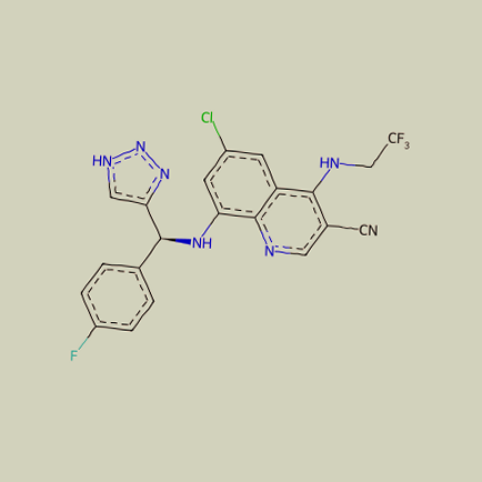 N#Cc1cnc2c(N[C@@H](c3ccc(F)cc3)c3c[nH]nn3)cc(Cl)cc2c1NCC(F)(F)F